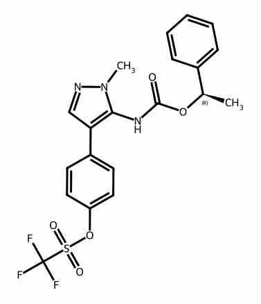 C[C@@H](OC(=O)Nc1c(-c2ccc(OS(=O)(=O)C(F)(F)F)cc2)cnn1C)c1ccccc1